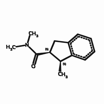 C[C@@H]1c2ccccc2C[C@@H]1C(=O)N(C)C